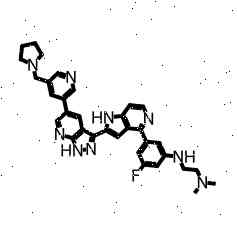 CN(C)CCNc1cc(F)cc(-c2nccc3[nH]c(-c4n[nH]c5ncc(-c6cncc(CN7CCCC7)c6)cc45)cc23)c1